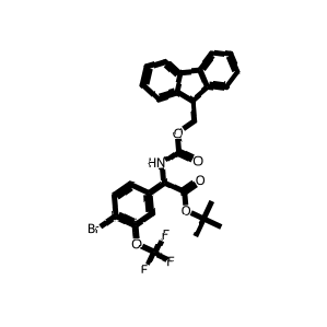 CC(C)(C)OC(=O)C(NC(=O)OCC1c2ccccc2-c2ccccc21)c1ccc(Br)c(OC(F)(F)F)c1